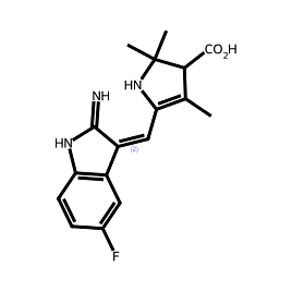 CC1=C(/C=C2\C(=N)Nc3ccc(F)cc32)NC(C)(C)C1C(=O)O